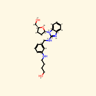 OCCCCNc1cccc(CNc2nc3ccccc3n2[C@H]2CC[C@@H](CO)O2)c1